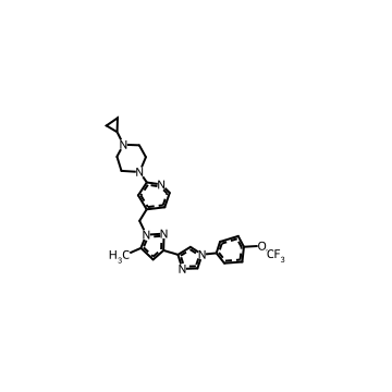 Cc1cc(-c2cn(-c3ccc(OC(F)(F)F)cc3)cn2)nn1Cc1ccnc(N2CCN(C3CC3)CC2)c1